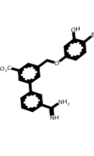 CCc1ccc(OCc2cc(C(=O)O)cc(-c3cccc(C(=N)N)c3)c2)cc1O